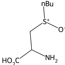 CCCC[S+]([O-])CC(N)C(=O)O